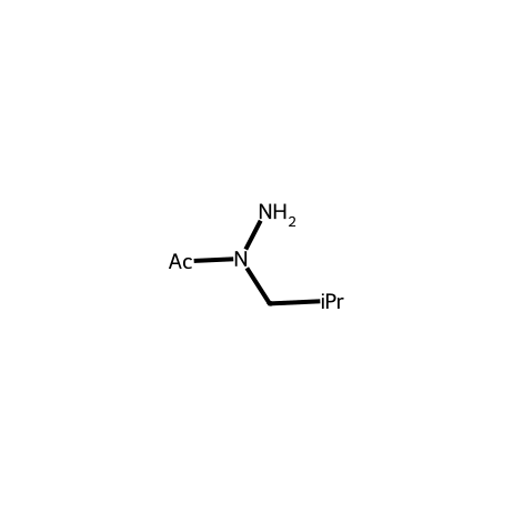 CC(=O)N(N)CC(C)C